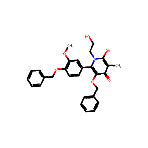 COc1cc(-c2c(OCc3ccccc3)c(=O)c(C)c(O)n2CCO)ccc1OCc1ccccc1